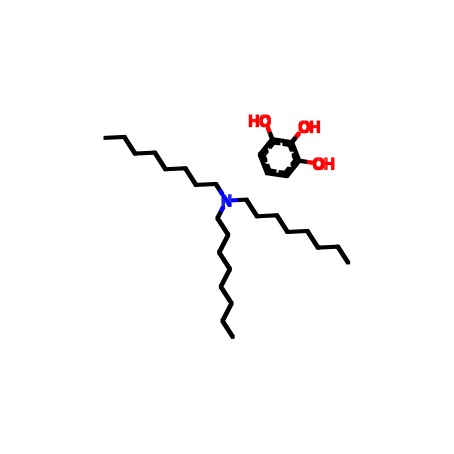 CCCCCCCCN(CCCCCCCC)CCCCCCCC.Oc1cccc(O)c1O